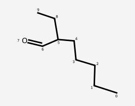 CCCCCC(C=O)CC